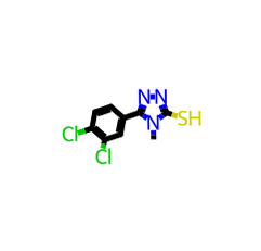 Cn1c(S)nnc1-c1ccc(Cl)c(Cl)c1